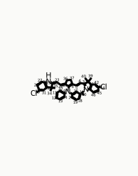 CC[N+]1=C(/C=C/C2=C(N(c3ccccc3)c3ccccc3)C(=C/C=C3/Nc4ccc(Cl)cc4C3(C)C)/CC2)C(C)(C)c2cc(Cl)ccc21